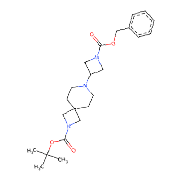 CC(C)(C)OC(=O)N1CC2(CCN(C3CN(C(=O)OCc4ccccc4)C3)CC2)C1